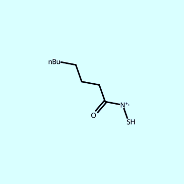 CCCCCCCC(=O)[N+]S